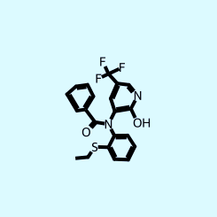 CCSc1ccccc1N(C(=O)c1ccccc1)c1cc(C(F)(F)F)cnc1O